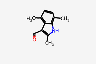 Cc1[nH]c2c(C)ccc(C)c2c1C=O